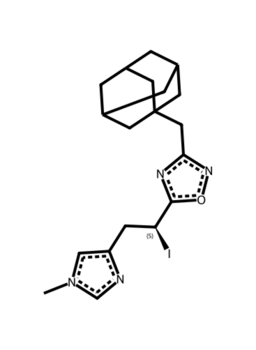 Cn1cnc(C[C@H](I)c2nc(CC34CC5CC(CC(C5)C3)C4)no2)c1